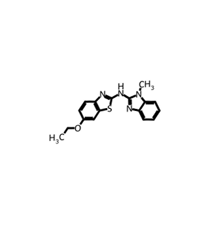 CCOc1ccc2nc(Nc3nc4ccccc4n3C)sc2c1